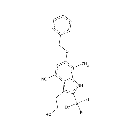 CC[Si](CC)(CC)c1[nH]c2c(C)c(OCc3ccccc3)cc(C#N)c2c1CCO